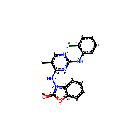 Cc1cnc(Nc2ccccc2Cl)nc1Nn1c(=O)oc2ccccc21